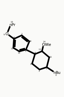 CCCCC1CCC(c2ccc(OCCC)cc2)C(OC)C1